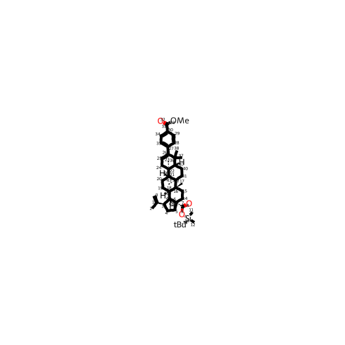 C=C(C)[C@@H]1CC[C@]2(C(=O)O[Si](C)(C)C(C)(C)C)CC[C@]3(C)[C@H](CC[C@@H]4[C@@]5(C)CC=C(c6ccc(C(=O)OC)cc6)C(C)(C)[C@@H]5CC[C@]43C)[C@@H]12